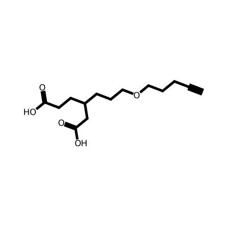 C#CCCCOCCCC(CCC(=O)O)CC(=O)O